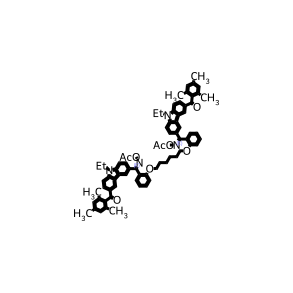 CCn1c2ccc(C(=O)c3c(C)cc(C)cc3C)cc2c2cc(/C(=N\OC(C)=O)c3ccccc3OCCCCCCOc3ccccc3/C(=N/OC(C)=O)c3ccc4c(c3)c3cc(C(=O)c5c(C)cc(C)cc5C)ccc3n4CC)ccc21